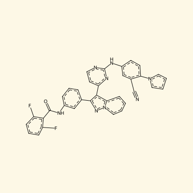 N#Cc1cc(Nc2nccc(-c3c(-c4cccc(NC(=O)c5c(F)cccc5F)c4)nn4ccccc34)n2)ccc1-n1cccc1